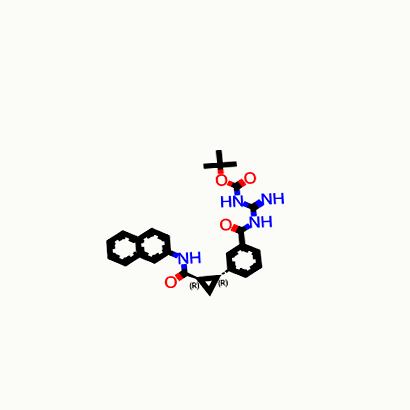 CC(C)(C)OC(=O)NC(=N)NC(=O)c1cccc([C@@H]2C[C@H]2C(=O)Nc2ccc3ccccc3c2)c1